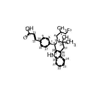 CC(CF)CN1[C@H](c2ccc(/C=C/C(=O)O)cc2)c2[nH]c3ccccc3c2CC1(C)C